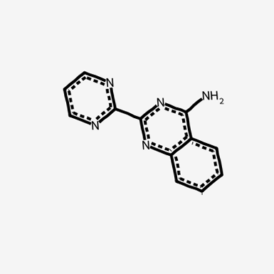 Nc1nc(-c2ncccn2)nc2c[c]ccc12